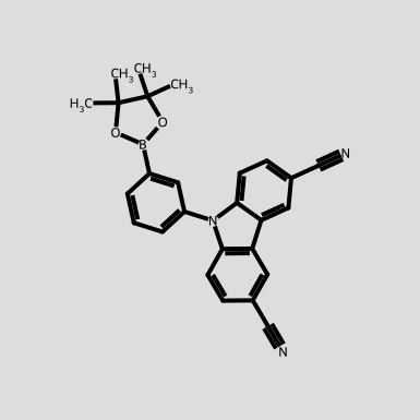 CC1(C)OB(c2cccc(-n3c4ccc(C#N)cc4c4cc(C#N)ccc43)c2)OC1(C)C